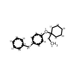 CCC1(Oc2ccc([I+]c3ccccc3)cc2)CCCCC1